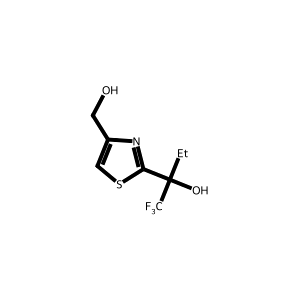 CCC(O)(c1nc(CO)cs1)C(F)(F)F